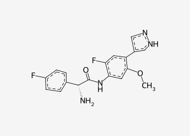 COc1cc(NC(=O)[C@H](N)c2ccc(F)cc2)c(F)cc1-c1cn[nH]c1